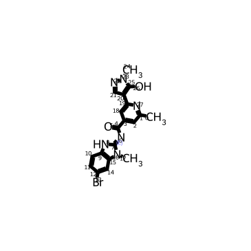 Cc1cc(C(=O)/N=c2\[nH]c3ccc(Br)cc3n2C)cc(-c2cnn(C)c2O)n1